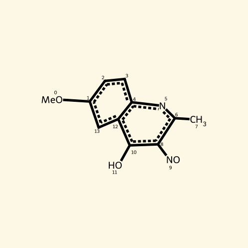 COc1ccc2nc(C)c(N=O)c(O)c2c1